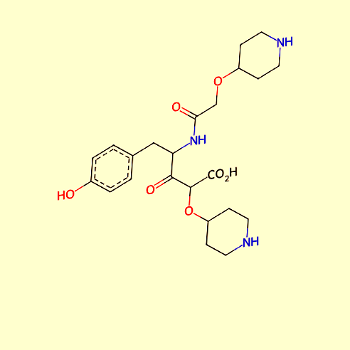 O=C(COC1CCNCC1)NC(Cc1ccc(O)cc1)C(=O)C(OC1CCNCC1)C(=O)O